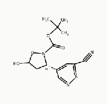 CC(C)(C)OC(=O)N1OC(O)C[C@H]1c1cnnc(C#N)c1